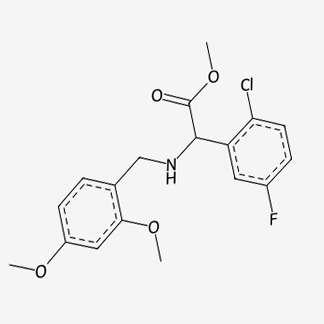 COC(=O)C(NCc1ccc(OC)cc1OC)c1cc(F)ccc1Cl